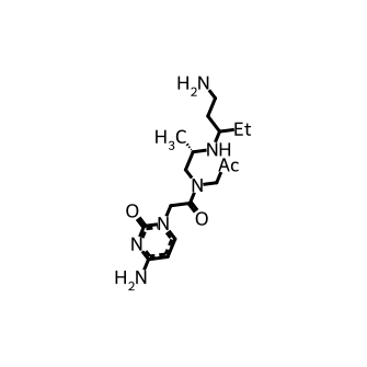 CCC(CCN)N[C@@H](C)CN(CC(C)=O)C(=O)Cn1ccc(N)nc1=O